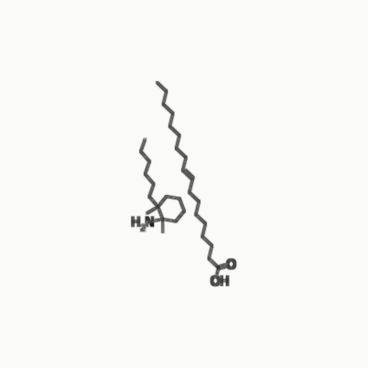 CCCCCCC1(C)CCCCC1(C)N.CCCCCCCCC=CCCCCCCCC(=O)O